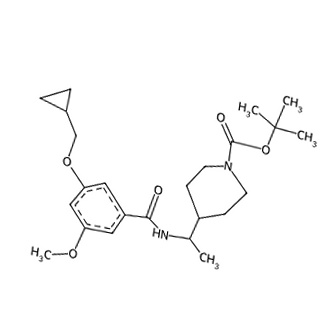 COc1cc(OCC2CC2)cc(C(=O)NC(C)C2CCN(C(=O)OC(C)(C)C)CC2)c1